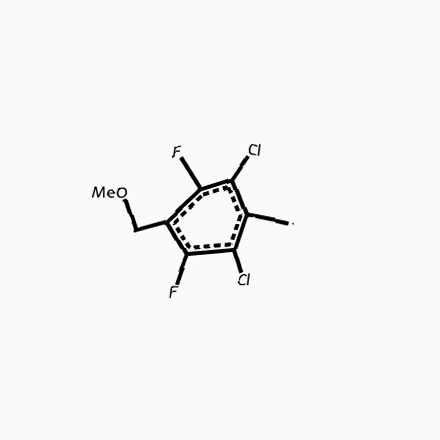 [CH2]c1c(Cl)c(F)c(COC)c(F)c1Cl